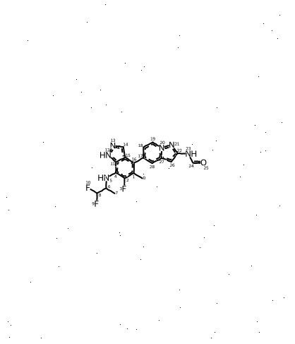 Cc1c(F)c(NC(C)C(F)F)c2[nH]ncc2c1-c1ccn2nc(NC=O)cc2c1